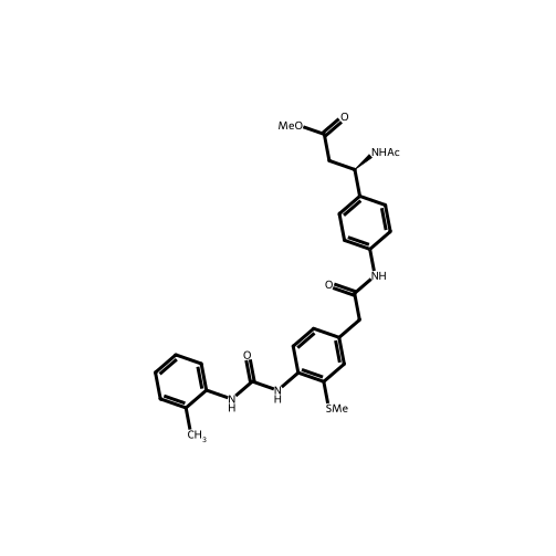 COC(=O)C[C@@H](NC(C)=O)c1ccc(NC(=O)Cc2ccc(NC(=O)Nc3ccccc3C)c(SC)c2)cc1